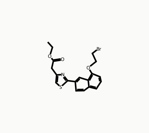 CCOC(=O)Cc1csc(-c2ccc3cccc(OCCBr)c3c2)n1